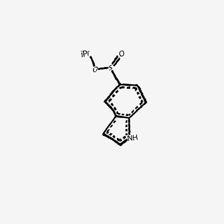 CC(C)OS(=O)c1ccc2[nH]ccc2c1